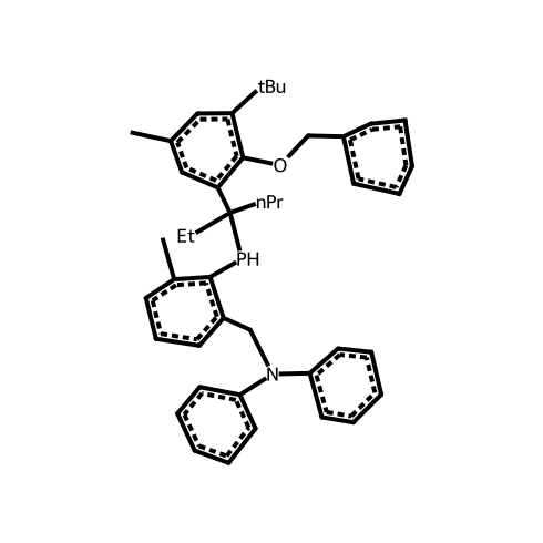 CCCC(CC)(Pc1c(C)cccc1CN(c1ccccc1)c1ccccc1)c1cc(C)cc(C(C)(C)C)c1OCc1ccccc1